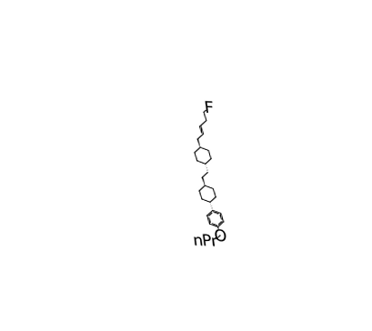 CCCOc1ccc([C@H]2CC[C@H](CC[C@H]3CC[C@H](CC=CCCF)CC3)CC2)cc1